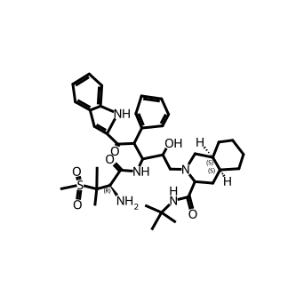 CC(C)(C)NC(=O)C1C[C@@H]2CCCC[C@@H]2CN1CC(O)C(NC(=O)[C@@H](N)C(C)(C)S(C)(=O)=O)C(C(=O)c1cc2ccccc2[nH]1)c1ccccc1